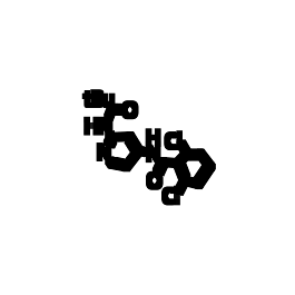 CC(C)(C)C(=O)Nc1cc(NC(=O)c2c(Cl)cccc2Cl)ccn1